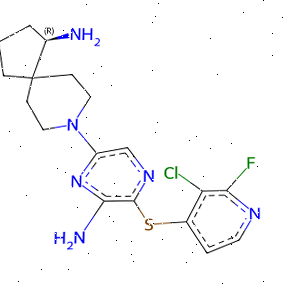 Nc1nc(N2CCC3(CCC[C@H]3N)CC2)cnc1Sc1ccnc(F)c1Cl